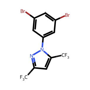 FC(F)(F)c1cc(C(F)(F)F)n(-c2cc(Br)[c]c(Br)c2)n1